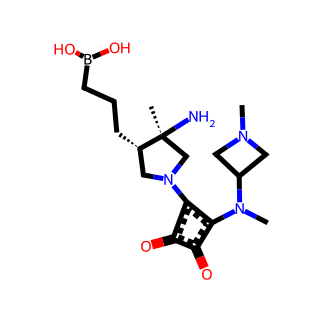 CN1CC(N(C)c2c(N3C[C@H](CCCB(O)O)[C@@](C)(N)C3)c(=O)c2=O)C1